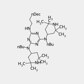 CCCCCCCCCCCCNc1nc(N(CCCC)C2CC(C)(C)NC(C)(C)C2)nc(N(CCCC)C2CC(C)(C)NC(C)(C)C2)n1